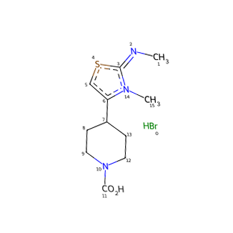 Br.CN=c1scc(C2CCN(C(=O)O)CC2)n1C